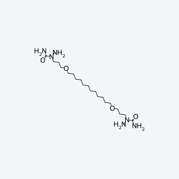 NC(=O)N(N)CCCOCCCCCCCCCCCCOCCCN(N)C(N)=O